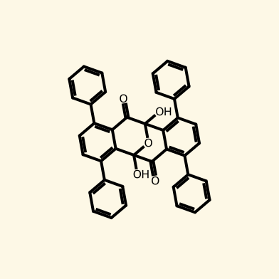 O=C1c2c(-c3ccccc3)ccc(-c3ccccc3)c2C2(O)OC1(O)c1c(-c3ccccc3)ccc(-c3ccccc3)c1C2=O